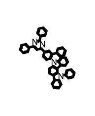 c1ccc(-c2cc(-c3ccc(-n4c5ccccc5c5c4ccc4c6ccccc6n(-c6ccccc6)c45)c(-c4ccccc4)c3)nc(-c3ccccc3)n2)cc1